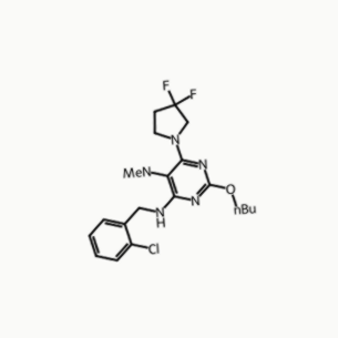 CCCCOc1nc(NCc2ccccc2Cl)c(NC)c(N2CCC(F)(F)C2)n1